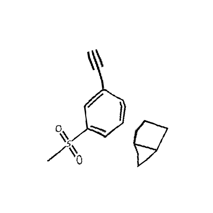 C#Cc1cccc(S(C)(=O)=O)c1.C1CC2CC12